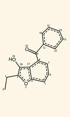 CCc1oc2cccc(C(=O)c3ccccc3)c2c1O